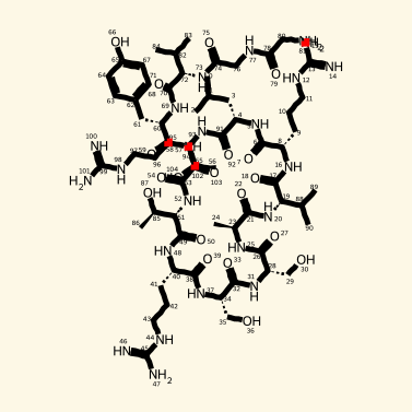 CC(C)C[C@H](NC(=O)[C@H](CCCNC(=N)N)NC(=O)[C@@H](NC(=O)[C@H](C)NC(=O)[C@H](CO)NC(=O)[C@H](CO)NC(=O)[C@H](CCCNC(=N)N)NC(=O)[C@@H](NC(=O)[C@H](C)NC(=O)[C@H](Cc1ccc(O)cc1)NC(=O)[C@@H](NC(=O)CNC(=O)CN)C(C)C)[C@@H](C)O)C(C)C)C(=O)N[C@@H](CCCNC(=N)N)C(=O)O